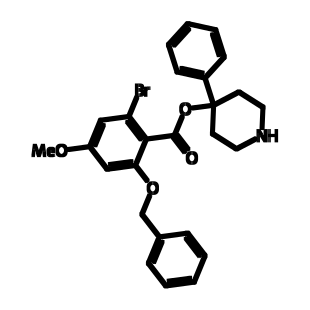 COc1cc(Br)c(C(=O)OC2(c3ccccc3)CCNCC2)c(OCc2ccccc2)c1